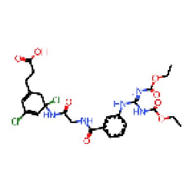 CCOC(=O)/N=C(\NC(=O)OCC)Nc1cccc(C(=O)NCC(=O)NC2(Cl)C=C(Cl)C=C(CCC(=O)O)C2)c1